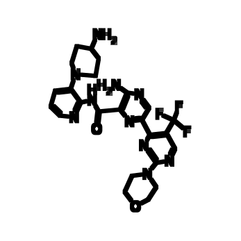 Nc1ncc(-c2nc(N3CCOCC3)ncc2C(F)(F)F)nc1C(=O)Nc1ncccc1N1CCC(N)CC1